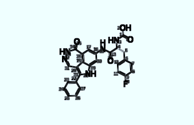 O=C(O)N[C@H](Cc1ccc(F)cc1)C(=O)Nc1cc2c3c(c(-c4ccccc4)[nH]c3c1)C=NNC2=O